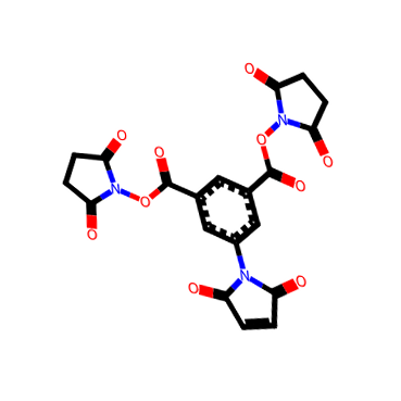 O=C(ON1C(=O)CCC1=O)c1cc(C(=O)ON2C(=O)CCC2=O)cc(N2C(=O)C=CC2=O)c1